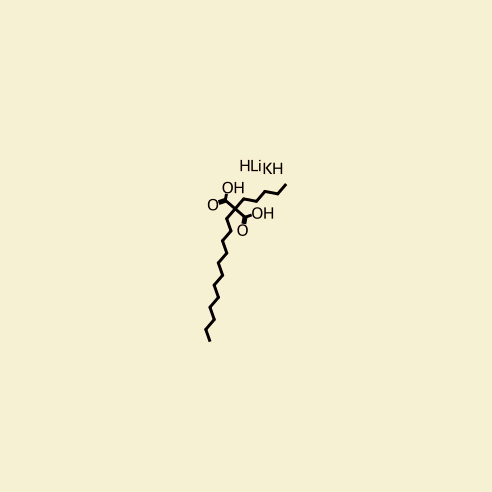 CCCCCCCCCCCCC(CCCCC)(C(=O)O)C(=O)O.[KH].[LiH]